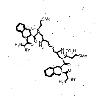 CSCC[C@@H](C(=O)O)N(CC(N)CSSCC(N)CN(C(=O)[C@@H]1Cc2ccccc2CN1C(=O)[C@@H](N)C(C)C)[C@@H](CCSC)C(=O)O)C(=O)[C@H]1Cc2ccccc2CN1C(=O)[C@@H](N)C(C)C